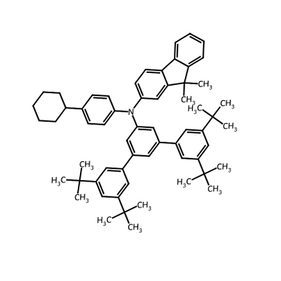 CC(C)(C)c1cc(-c2cc(-c3cc(C(C)(C)C)cc(C(C)(C)C)c3)cc(N(c3ccc(C4CCCCC4)cc3)c3ccc4c(c3)C(C)(C)c3ccccc3-4)c2)cc(C(C)(C)C)c1